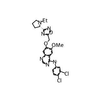 CCN1CCC[C@H]1c1noc(COc2cc3ncnc([N]c4ccc(Cl)c(Cl)c4)c3cc2OC)n1